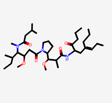 CC/C=C(\CCC)CC(NC(=O)C(C)C(OC)C1CCCN1C(=O)CC(OC)C(C(C)CC)N(C)C(=O)CC(C)C)C(=O)CCC